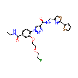 CCNC(=O)c1ccc(-n2cc(C(=O)NCc3csc(-c4cccs4)n3)nn2)c(OCCOCCF)c1